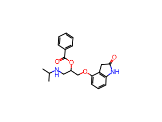 CC(C)NCC(COc1cccc2c1CC(=O)N2)OC(=O)c1ccccc1